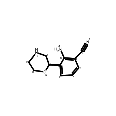 N#Cc1cccc(C2CNCCO2)c1N